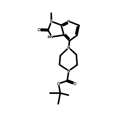 Cn1c(=O)[nH]c2c(N3CCN(C(=O)OC(C)(C)C)CC3)ccnc21